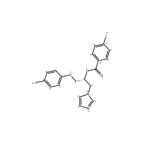 O=C(O[C@@H](COc1ccc(I)cc1)Cn1ccnc1)c1ccc(I)cc1